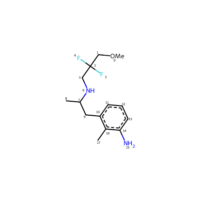 COCC(F)(F)CNC(C)Cc1cccc(N)c1C